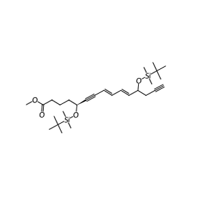 C#CCC(/C=C/C=C/C#C[C@H](CCCC(=O)OC)O[Si](C)(C)C(C)(C)C)O[Si](C)(C)C(C)(C)C